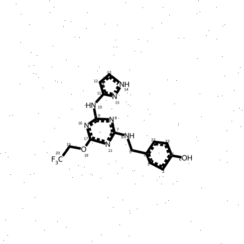 Oc1ccc(CNc2nc(Nc3cc[nH]n3)nc(OCC(F)(F)F)n2)cc1